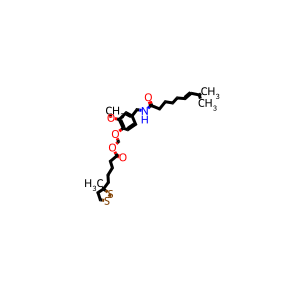 COc1cc(CNC(=O)CCCC/C=C/C(C)C)ccc1OCOC(=O)CCCC[C@]1(C)CCSS1